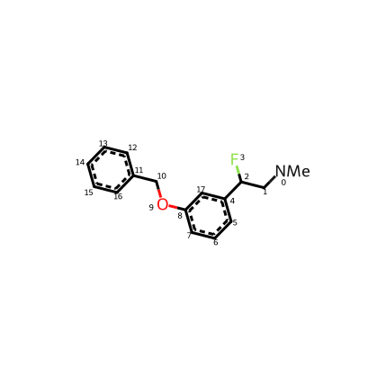 CNCC(F)c1cccc(OCc2ccccc2)c1